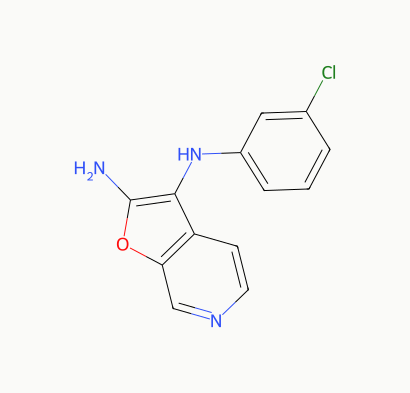 Nc1oc2cnccc2c1Nc1cccc(Cl)c1